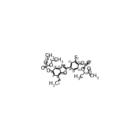 C=Cc1cc(OP(=O)(OCC)OCC)cc2nc(-c3ccc(OP(=O)(OCC)OCC)c(F)c3)oc12